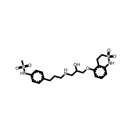 CS(=O)(=O)Nc1ccc(CCCNCC(O)COc2cccc3c2CCS(=O)(=O)N3)cc1